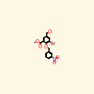 COC(=O)c1cc(C=O)cc(Br)c1OCc1cccc([N+](=O)[O-])c1